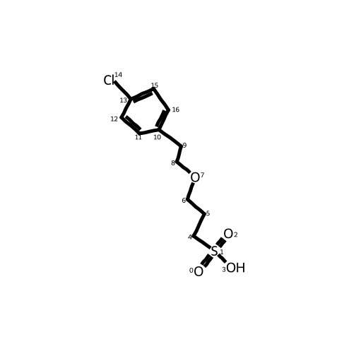 O=S(=O)(O)CCCOCCc1ccc(Cl)cc1